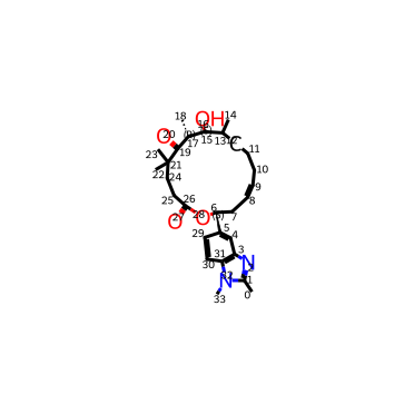 Cc1nc2cc([C@@H]3CC=CCCCC(C)[C@H](O)[C@@H](C)C(=O)C(C)(C)CCC(=O)O3)ccc2n1C